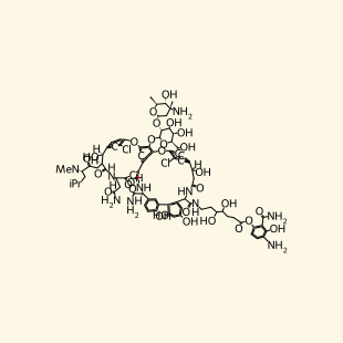 CN[C@@H](CC(C)C)C(=O)C[C@@H]1C(=O)N[C@H](CC(N)=O)C(=O)C[C@@H]2C(=O)N[C@H](C(N)=O)c3ccc(O)c(c3)-c3c(O)cc(O)cc3C(C(=O)NCCC(O)C(O)CCC(=O)Oc3ccc(N)c(O)c3C(N)=O)NC(=O)C[C@@H](O)c3ccc(c(Cl)c3)Oc3cc2cc(c3OC2O[C@H](CO)[C@H](O)[C@@H](O)[C@H]2O[C@H]2C[C@@](C)(N)[C@@H](O)[C@H](C)O2)Oc2ccc(cc2Cl)[C@@H]1O